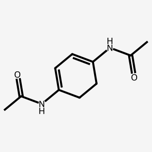 CC(=O)NC1=CC=C(NC(C)=O)CC1